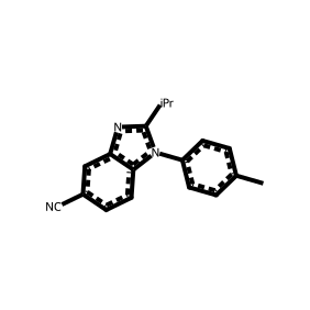 Cc1ccc(-n2c(C(C)C)nc3cc(C#N)ccc32)cc1